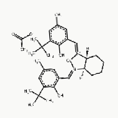 CC(=O)[O-].Cc1cc(C=[N+]2[Co][N+](=Cc3cc(C)cc(C(C)(C)C)c3O)[C@@H]3CCCC[C@H]32)c(O)c(C(C)(C)C)c1